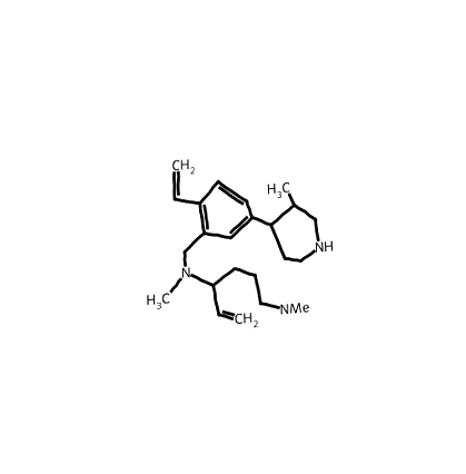 C=Cc1ccc(C2CCNCC2C)cc1CN(C)C(C=C)CCCNC